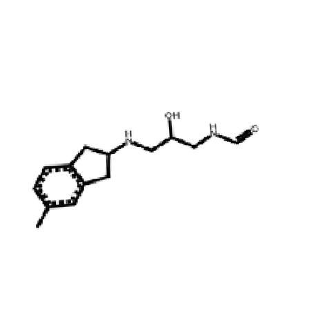 Cc1ccc2c(c1)CC(NCC(O)CNC=O)C2